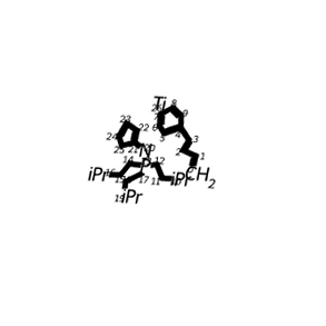 C=CC=Cc1ccccc1.CC(C)CCP(CCC(C)C)(CCC(C)C)=NC1=CC=CC1.[Ti]